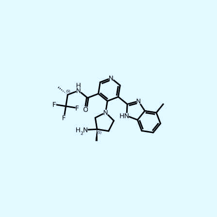 Cc1cccc2[nH]c(-c3cncc(C(=O)N[C@@H](C)C(F)(F)F)c3N3CC[C@](C)(N)C3)nc12